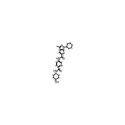 Cc1nn(C2CCCCC2)c2sc(C(=O)Nc3ccc(C(=O)N[C@H]4CC[C@H](O)CC4)nc3)cc12